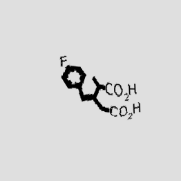 CC(C(=O)O)/C(=C\c1ccc(F)cc1)CC(=O)O